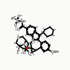 COc1ccc2c(c1)C1CC1(C(=O)N1C3COC[C@H]1CN(C)C3)Cn1c-2c(C2CCCCC2)c2ccc(C(=O)NS(=O)(=O)C(C)C)cc21